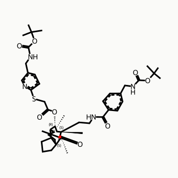 C[C@@H]1CC[C@@]23CCCC2C1[C@H](OC(=O)CSc1ccc(CNC(=O)OC(C)(C)C)cn1)C[C@](C)(CCNC(=O)c1ccc(CNC(=O)OC(C)(C)C)cc1)C(=O)[C@@H]3C